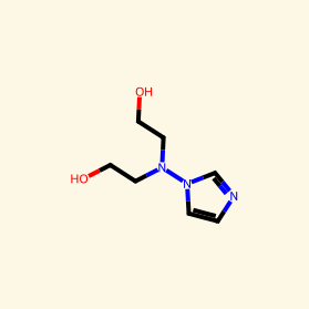 OCCN(CCO)n1ccnc1